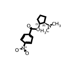 CN(C)[C@@H]1CCC[C@@H]1OC(=O)c1ccc([N+](=O)[O-])cc1